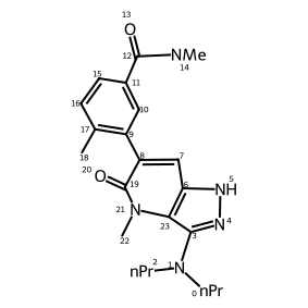 CCCN(CCC)c1n[nH]c2cc(-c3cc(C(=O)NC)ccc3C)c(=O)n(C)c12